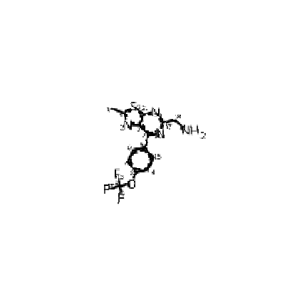 Cc1nc2c(-c3ccc(OC(F)(F)F)cc3)nc(CN)nc2s1